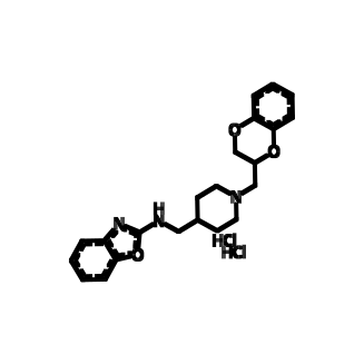 Cl.Cl.c1ccc2c(c1)OCC(CN1CCC(CNc3nc4ccccc4o3)CC1)O2